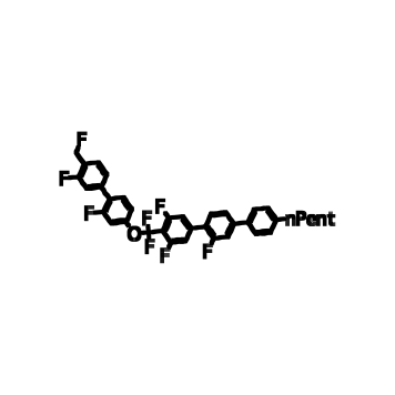 CCCCCc1ccc(-c2ccc(-c3cc(F)c(C(F)(F)Oc4ccc(-c5ccc(CF)c(F)c5)c(F)c4)c(F)c3)c(F)c2)cc1